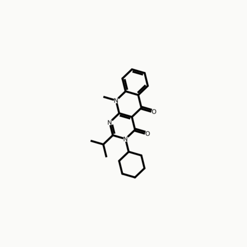 CC(C)c1nc2c(c(=O)c3ccccc3n2C)c(=O)n1C1CCCCC1